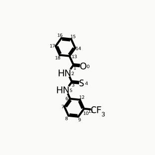 O=C(NC(=S)Nc1cccc(C(F)(F)F)c1)c1ccccc1